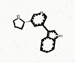 c1ccc2c(-c3cncc([C@@H]4CCCN4)c3)c[nH]c2c1